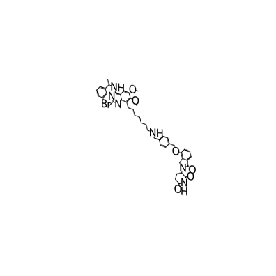 COc1cc2c(NC(C)c3cccc(Br)c3)nc(C)nc2c(CCCCCCCNCc2ccc(COc3cccc4c3CN(C3CCC(=O)NC3=O)C4=O)cc2)c1OC